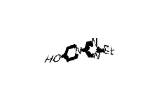 CCc1ncc(N2CCC(O)CC2)cn1